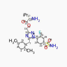 Cc1ccc(C)c(Cc2nc(COC(=O)[C@@H](N)C(C)C)nn2-c2ccc(S(N)(=O)=O)cc2F)c1